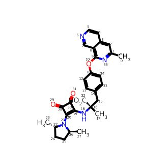 Cc1cc2ccncc2c(Oc2ccc(C[C@](C)(Nc3c(N4[C@@H](C)CC[C@@H]4C)c(=O)c3=O)C(=O)O)cc2)n1